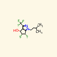 CC(C)CCn1nc(C(F)(F)F)c2c1[C@@H](F)[C@@H](F)[C@H]2O